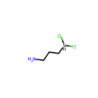 NCCC[SiH](Cl)Cl